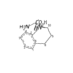 NC(=O)O.c1ccc2c(c1)CCCN2